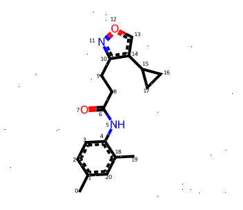 Cc1ccc(NC(=O)CCc2nocc2C2CC2)c(C)c1